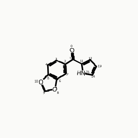 O=C(c1ccc2c(c1)OCO2)c1ccc[nH]1